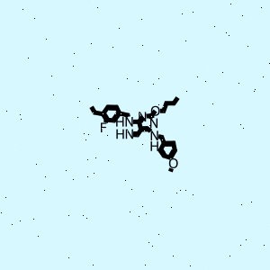 CCCCOc1nc(NCc2ccc(OC)cc2)c(C=N)c(NCc2ccc(CC)c(F)c2)n1